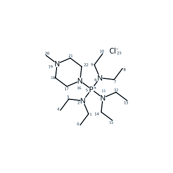 CCN(CC)[P+](N(CC)CC)(N(CC)CC)N1CCN(C)CC1.[Cl-]